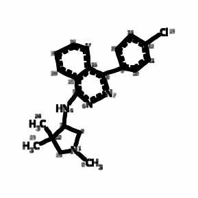 CN1CC(Nc2nnc(-c3ccc(Cl)cc3)c3ccccc23)C(C)(C)C1